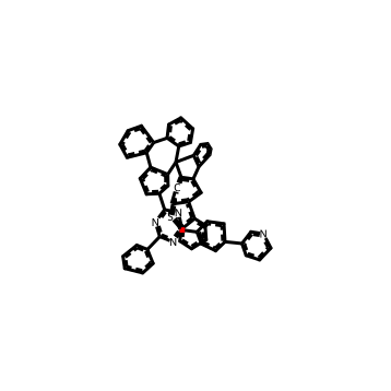 c1ccc(-c2nc(-c3ccc(-c4cccnc4)cc3)nc(-c3ccc4c(c3)C3(c5ccccc5-c5ccccc5-4)c4ccccc4-c4cc5c(cc43)sc3ccccc35)n2)cc1